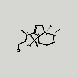 [2H]C([2H])([2H])[C@]12CCC[C@@H](C)[C@@H]1CC=C2[C@H](C)CCO